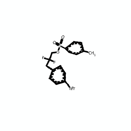 CCCc1ccc(CC(F)(F)COS(=O)(=O)c2ccc(C)cc2)cc1